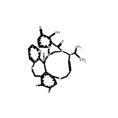 CC(C)[C@H]1/C=C/COc2cc(F)c(F)c3c2[C@H](c2ncccc2SC3)N2CN1C(=O)c1c(O)c(=O)ccn12